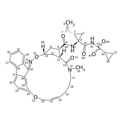 C=C[C@@H]1C[C@]1(NC(=O)[C@@H]1C[C@@H]2C[C@H]1C(=O)N(C)CCC/C=C\COc1ccc3c(c1)/C(=N/O2)c1ccccc1-3)C(=O)NS(=O)(=O)C1CC1